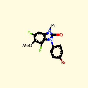 COc1c(F)cc2c(c1F)n(-c1ccc(Br)cc1)c(=O)n2C(C)C